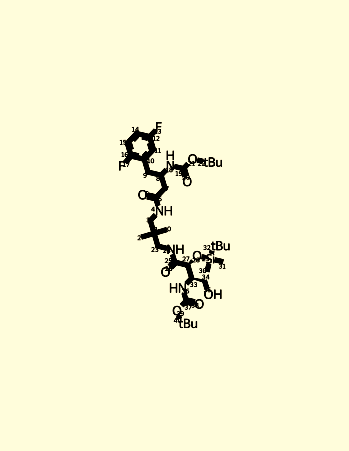 CC(C)(CNC(=O)CC(Cc1cc(F)ccc1F)NC(=O)OC(C)(C)C)CNC(=O)[C@@H](O[Si](C)(C)C(C)(C)C)[C@@H](CO)NC(=O)OC(C)(C)C